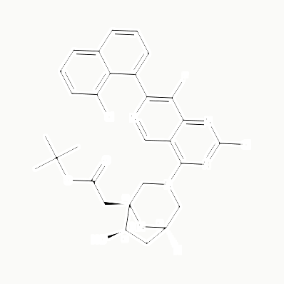 CC(C)(C)OC(=O)C[C@]12CN(c3nc(Cl)nc4c(F)c(-c5cccc6cccc(Cl)c56)ncc34)C[C@@H](C[C@H]1O)N2